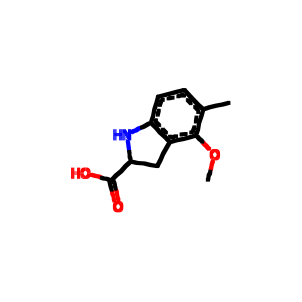 COc1c(C)ccc2c1CC(C(=O)O)N2